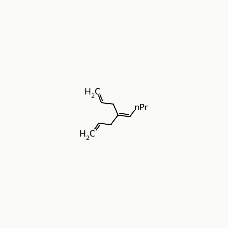 [CH2]CCC=C(CC=C)CC=C